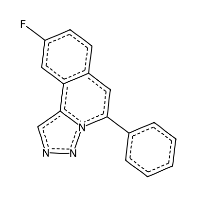 Fc1ccc2cc(-c3ccccc3)n3nncc3c2c1